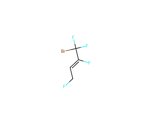 FC/C=C(\F)C(F)(F)Br